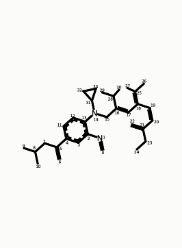 C=Nc1cc(C(=C)CC(C)C)ccc1N(C/C(=C/C(/C=C\C(=C)CC)=C(C)C)C(C)C)C1CC1